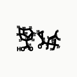 CC(C)=CC(C)(C(=O)C1C[C@H]1C12CC(C(=O)O)CC3CC(C1)C3C2)C(C)(C)C